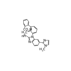 CCCc1nc2ccc(-c3nccn3C)cc2n1-c1cccc(-c2ccccc2C(=O)O)c1C